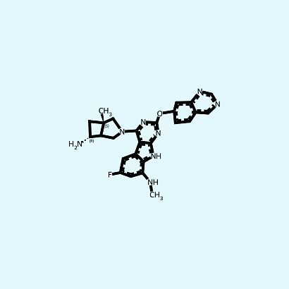 CNc1cc(F)cc2c1[nH]c1nc(Oc3ccc4cncnc4c3)nc(N3CC4[C@H](N)C[C@]4(C)C3)c12